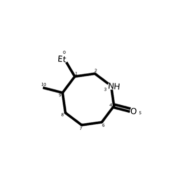 CCC1CNC(=O)CCCC1C